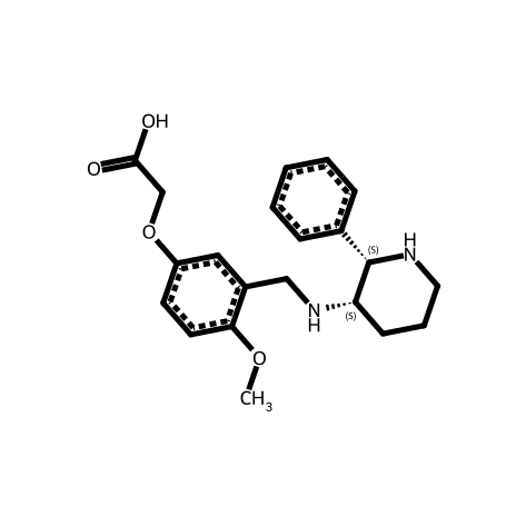 COc1ccc(OCC(=O)O)cc1CN[C@H]1CCCN[C@H]1c1ccccc1